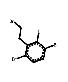 Fc1c(Br)ccc(Br)c1CCBr